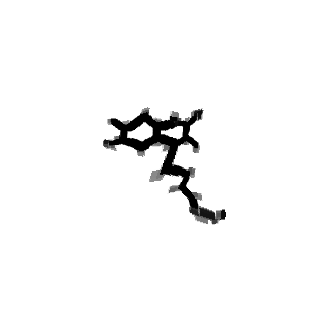 CCc1nc2cc(C)c(Cl)cc2c(CCCCC(=O)O)c1C